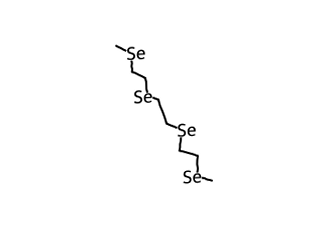 C[Se]CC[Se]CC[Se]CC[Se]C